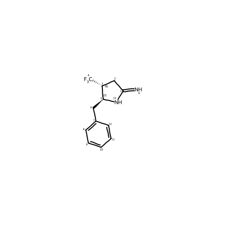 N=C1C[C@@H](C(F)(F)F)[C@H](Cc2ccccc2)N1